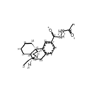 CC(=O)NNC(=O)c1ccc2c(c1)[C@]13CCCCC1[C@H](C2)N(C)CC3